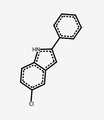 Clc1ccc2[nH]c(-c3c[c]ccc3)cc2c1